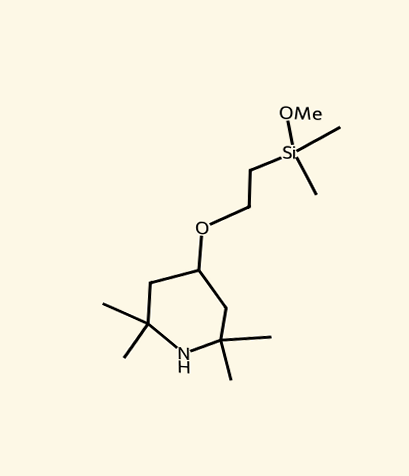 CO[Si](C)(C)CCOC1CC(C)(C)NC(C)(C)C1